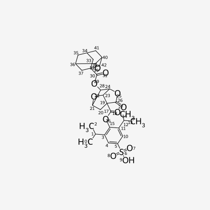 CC(C)c1cc(S(=O)(=O)O)cc(C(C)C)c1OC(=O)C12CC3OC1C(OC2=O)C3OC(=O)C12CC3CC(C1)C(=O)C(C3)C2